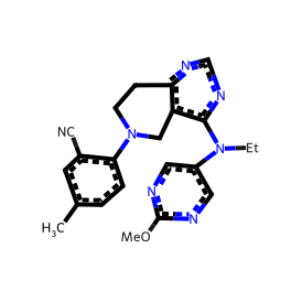 CCN(c1cnc(OC)nc1)c1ncnc2c1CN(c1ccc(C)cc1C#N)CC2